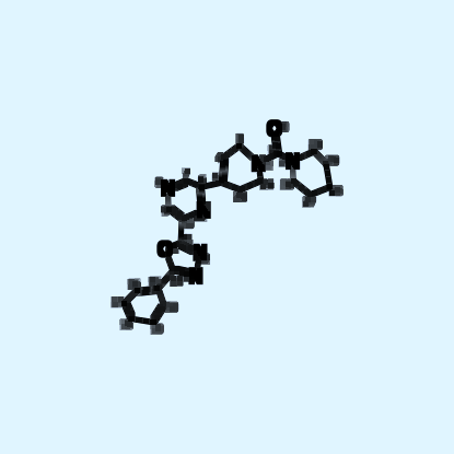 O=C(N1CC=C(c2cncc(-c3nnc(-c4ccccc4)o3)n2)CC1)N1CCCCC1